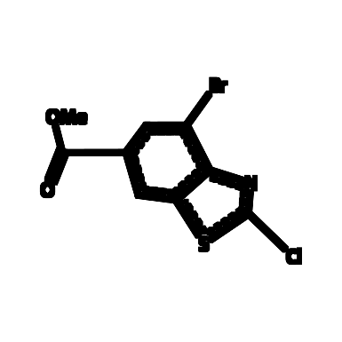 COC(=O)c1cc(Br)c2nc(Cl)sc2c1